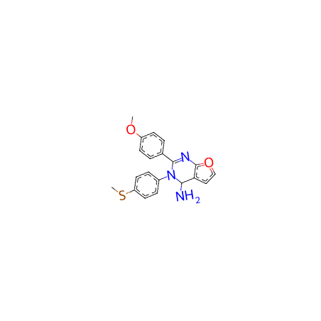 COc1ccc(C2=Nc3occc3C(N)N2c2ccc(SC)cc2)cc1